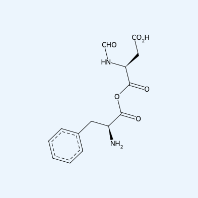 N[C@@H](Cc1ccccc1)C(=O)OC(=O)[C@H](CC(=O)O)NC=O